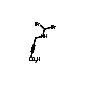 CC(C)C(NCC#CC(=O)O)C(C)C